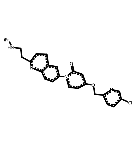 CC(C)NCCc1ccc2cc(-n3ccc(OCc4ccc(Cl)cn4)cc3=O)ccc2n1